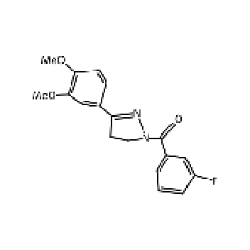 COc1ccc(C2=NN(C(=O)c3cccc(F)c3)CC2)cc1OC